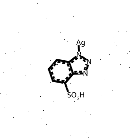 O=S(=O)(O)c1cccc2c1nn[n]2[Ag]